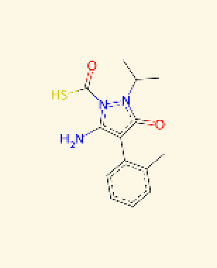 Cc1ccccc1-c1c(N)n(C(=O)S)n(C(C)C)c1=O